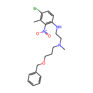 Cc1c(Br)ccc(NCCN(C)CCCOCc2ccccc2)c1[N+](=O)[O-]